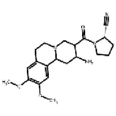 COc1cc2c(cc1OC)C1CC(N)C(C(=O)N3CCC[C@H]3C#N)CN1CC2